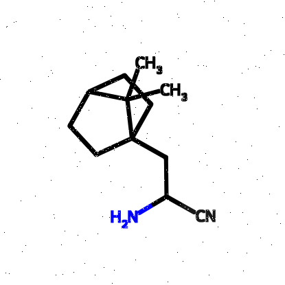 CC1(C)C2CCC1(CC(N)C#N)CC2